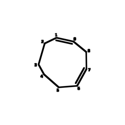 C1=CCCCCC=CC1